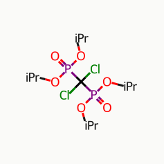 CC(C)OP(=O)(OC(C)C)C(Cl)(Cl)P(=O)(OC(C)C)OC(C)C